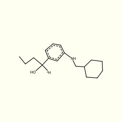 [2H]C(O)(CCC)c1cccc(NCC2CCCCC2)c1